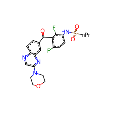 CCCS(=O)(=O)Nc1ccc(F)c(C(=O)c2ccc3ncc(N4CCOCC4)nc3c2)c1F